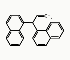 C=C[C](c1cccc2ccccc12)c1cccc2ccccc12